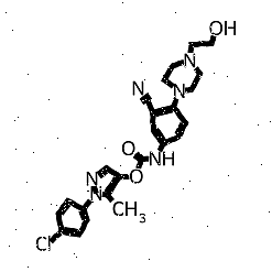 Cc1c(OC(=O)Nc2ccc(N3CCN(CCO)CC3)c(C#N)c2)cnn1-c1ccc(Cl)cc1